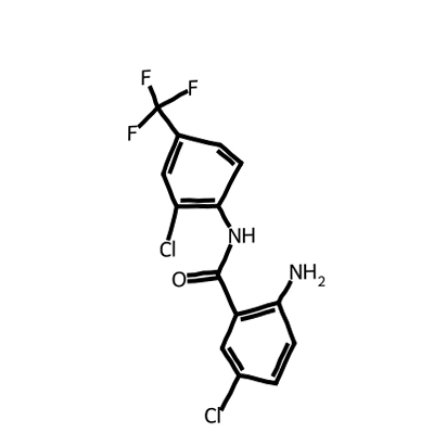 Nc1ccc(Cl)cc1C(=O)Nc1ccc(C(F)(F)F)cc1Cl